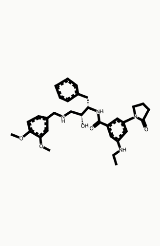 CCNc1cc(C(=O)N[C@@H](Cc2ccccc2)[C@H](O)CNCc2ccc(OC)c(OC)c2)cc(N2CCCC2=O)c1